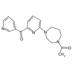 CC(=O)N1CCCN(c2cccc(C(=O)c3cccnc3)n2)CC1